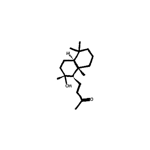 CC(=O)CC[C@@H]1[C@@]2(C)CCCC(C)(C)[C@@H]2CC[C@@]1(C)O